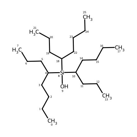 CCCCC(CCC)[Si](O)(C(CCC)CCCC)C(CCC)CCCC